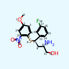 COc1ccc(S[C@H](C[C@H](N)CO)c2cccc(F)c2)c([N+](=O)[O-])c1